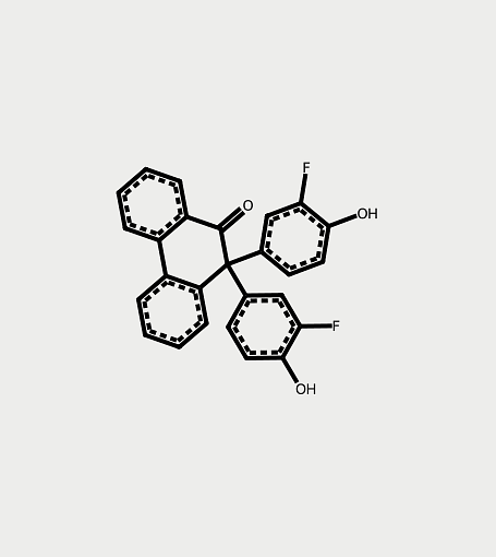 O=C1c2ccccc2-c2ccccc2C1(c1ccc(O)c(F)c1)c1ccc(O)c(F)c1